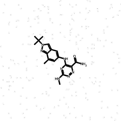 CNc1nnc(C(N)=O)c(Nc2cc(C)c3nn(C(C)(C)C)cc3c2)n1